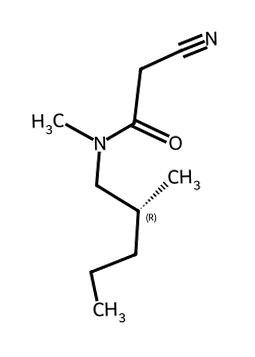 CCC[C@@H](C)CN(C)C(=O)CC#N